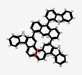 c1ccc2c(c1)cc(-c1cccc3c(-c4cccc5c4sc4ccccc45)c4cccc(-c5cc6ccccc6c6c5oc5ccccc56)c4cc13)c1oc3ccccc3c12